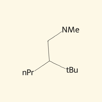 CCCC(CNC)C(C)(C)C